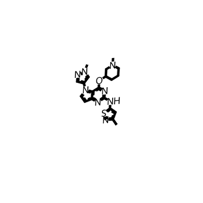 Cc1cc(Nc2nc(OC3CCCN(C)C3)c3c(ccn3-c3cnn(C)c3)n2)sn1